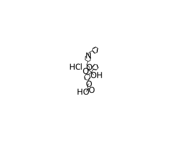 Cl.O=C(O)COc1cccc(C(O)(C(=O)OCC2CCN(Cc3ccccc3)CC2)c2ccccc2)c1